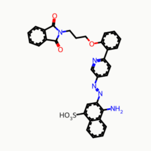 Nc1c(N=Nc2ccc(-c3ccccc3OCCCN3C(=O)c4ccccc4C3=O)nc2)cc(S(=O)(=O)O)c2ccccc12